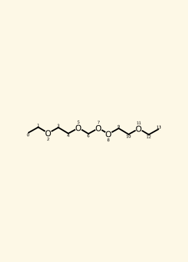 CCOCCOCOOCCOCC